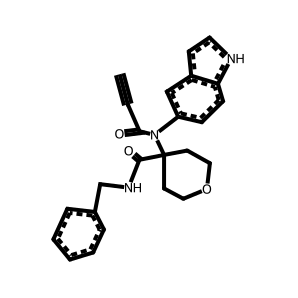 C#CC(=O)N(c1ccc2[nH]ccc2c1)C1(C(=O)NCc2ccccc2)CCOCC1